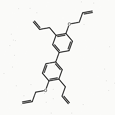 C=CCOc1ccc(-c2ccc(OCC=C)c(CC=C)c2)cc1CC=C